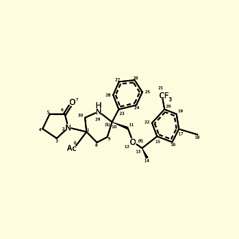 CC(=O)C1(N2CCCC2=O)CC[C@@](CO[C@H](C)c2cc(C)cc(C(F)(F)F)c2)(c2ccccc2)NC1